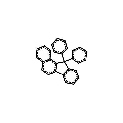 [c]1cc2c(c3ccccc13)C(c1ccccc1)(c1ccccc1)c1ccccc1-2